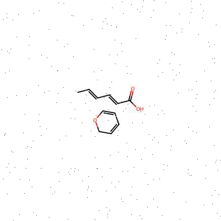 C/C=C/C=C/C(=O)O.C1=CCOC=C1